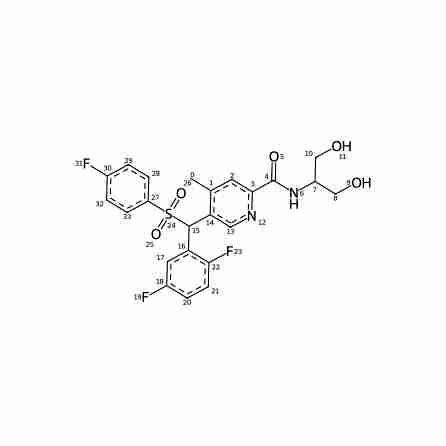 Cc1cc(C(=O)NC(CO)CO)ncc1C(c1cc(F)ccc1F)S(=O)(=O)c1ccc(F)cc1